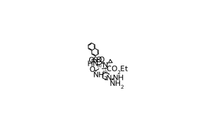 CCOC(=O)C(C)([C@H]1CCCN(C(=N)N)C1)N(C(=O)[C@H](CC(N)=O)NS(=O)(=O)c1ccc2ccccc2c1)C1CC1